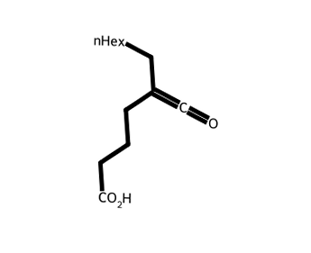 CCCCCCCC(=C=O)CCCC(=O)O